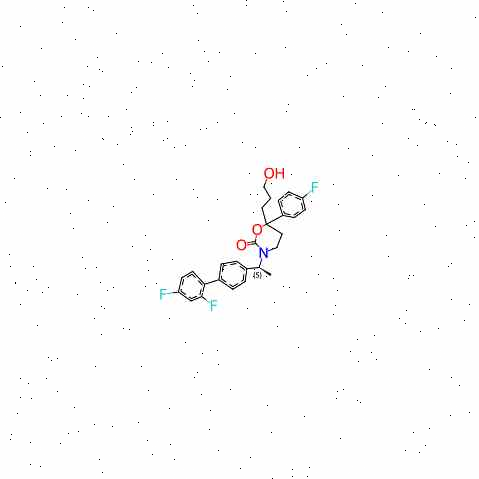 C[C@@H](c1ccc(-c2ccc(F)cc2F)cc1)N1CCC(CCCO)(c2ccc(F)cc2)OC1=O